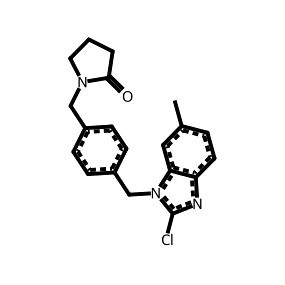 Cc1ccc2nc(Cl)n(Cc3ccc(CN4CCCC4=O)cc3)c2c1